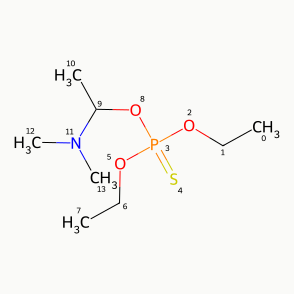 CCOP(=S)(OCC)OC(C)N(C)C